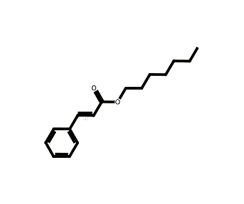 CCCCCCCOC(=O)/C=C/c1ccccc1